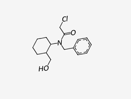 O=C(CCl)N(Cc1ccccc1)C1CCCCC1CO